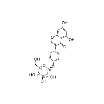 O=c1c(-c2ccc(O[C@@H]3O[C@H](CO)[C@@H](O)[C@H](O)[C@H]3O)cc2)coc2cc(O)cc(O)c12